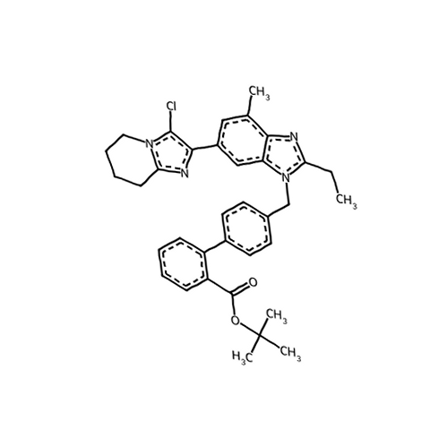 CCc1nc2c(C)cc(-c3nc4n(c3Cl)CCCC4)cc2n1Cc1ccc(-c2ccccc2C(=O)OC(C)(C)C)cc1